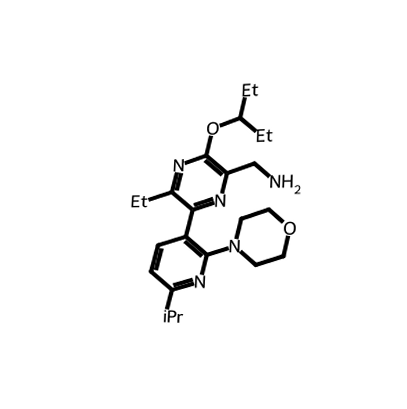 CCc1nc(OC(CC)CC)c(CN)nc1-c1ccc(C(C)C)nc1N1CCOCC1